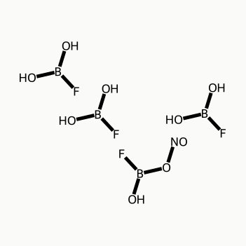 O=NOB(O)F.OB(O)F.OB(O)F.OB(O)F